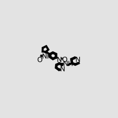 O=CNC1(c2ccc(N(C=O)c3cccnc3NCc3ccncc3)cc2)CCCC1